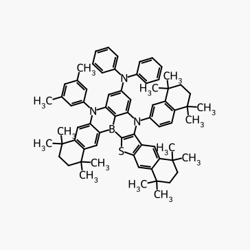 Cc1cc(C)cc(N2c3cc4c(cc3B3c5sc6cc7c(cc6c5N(c5ccc6c(c5)C(C)(C)CCC6(C)C)c5cc(N(c6ccccc6)c6ccccc6)cc2c53)C(C)(C)CCC7(C)C)C(C)(C)CCC4(C)C)c1